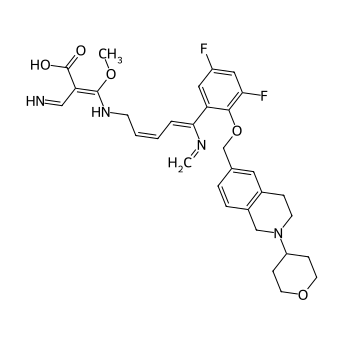 C=N/C(=C\C=C/CN/C(OC)=C(\C=N)C(=O)O)c1cc(F)cc(F)c1OCc1ccc2c(c1)CCN(C1CCOCC1)C2